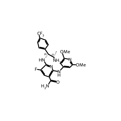 COc1cc(Nc2nc(N[C@H](c3ccc(C(F)(F)F)cc3)[C@H](C)N)c(F)cc2C(N)=O)cc(OC)n1